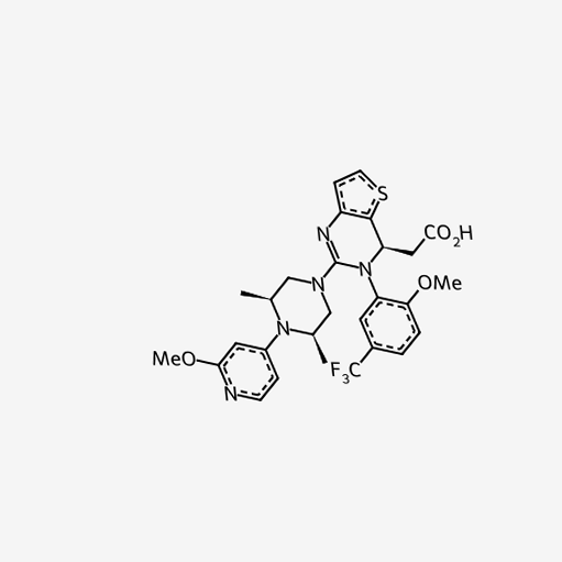 COc1cc(N2[C@H](C)CN(C3=Nc4ccsc4[C@@H](CC(=O)O)N3c3cc(C(F)(F)F)ccc3OC)C[C@@H]2C)ccn1